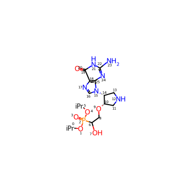 CC(C)OP(=O)(OC(C)C)C(O)CO[C@H]1CNC[C@H]1n1cnc2c(=O)[nH]c(N)nc21